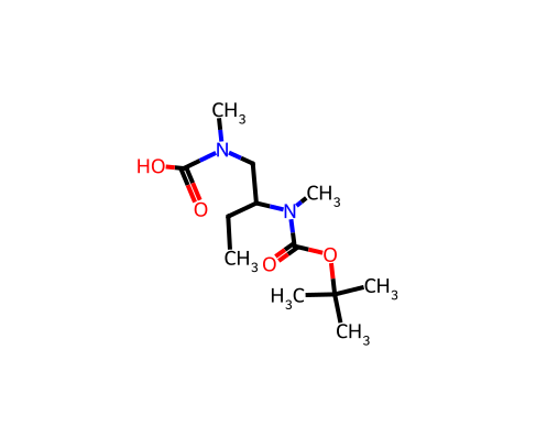 CCC(CN(C)C(=O)O)N(C)C(=O)OC(C)(C)C